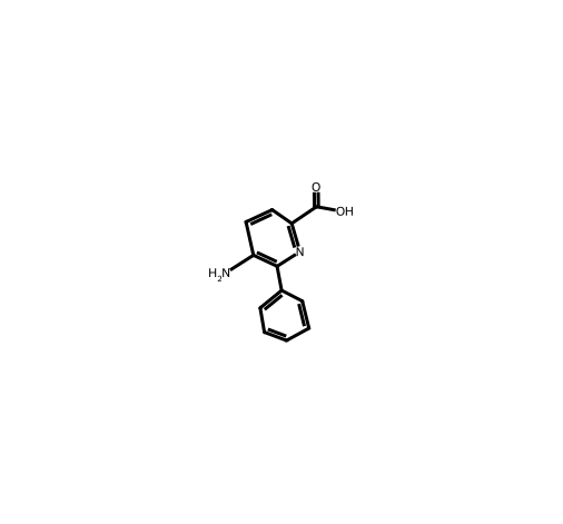 Nc1ccc(C(=O)O)nc1-c1ccccc1